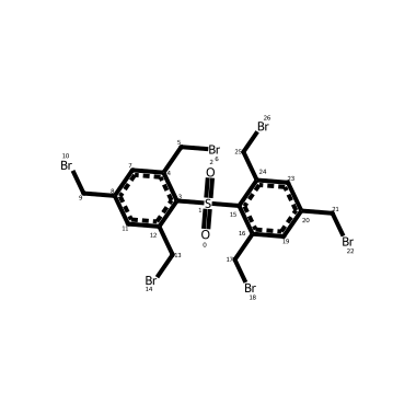 O=S(=O)(c1c(CBr)cc(CBr)cc1CBr)c1c(CBr)cc(CBr)cc1CBr